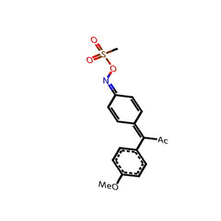 COc1ccc(C(C(C)=O)=C2C=CC(=NOS(C)(=O)=O)C=C2)cc1